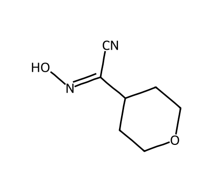 N#C/C(=N\O)C1CCOCC1